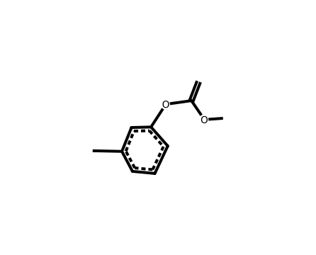 C=C(OC)Oc1cccc(C)c1